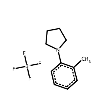 Cc1ccccc1N1CCCC1.F[B-](F)(F)F